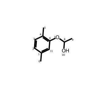 Cc1ccc(C)c(OC(C)O)c1